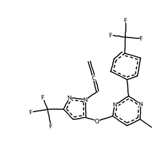 C=C=Cn1nc(C(F)(F)F)cc1Oc1cc(C)nc(-c2ccc(C(F)(F)F)cc2)n1